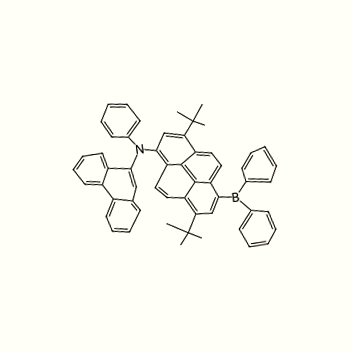 CC(C)(C)c1cc(B(c2ccccc2)c2ccccc2)c2ccc3c(C(C)(C)C)cc(N(c4ccccc4)c4cc5ccccc5c5ccccc45)c4ccc1c2c43